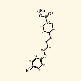 CC(C)(C)OC(=O)N1CCC(CCCCOc2ccc(Br)cc2)CC1